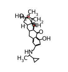 C=C1C(C)=C(O)C[C@@H]2CC3Cc4cc(CNC(C)C5CC5)cc(O)c4C(=O)C3=C3ONCC(C)[C@]132